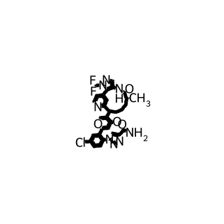 C[C@@H]1CCCC(c2coc(-c3cc(Cl)ccc3-n3cc(C(N)=O)nn3)cc2=O)c2cc(ccn2)-c2c(cnn2C(F)F)NC1=O